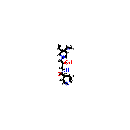 C=CC1=C(/C=C\C)CCN(CC(O)CNC(=O)C2=CC=C=NC=C2)C1